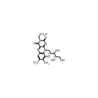 Cc1cc2nc3c(=O)n(CC(=O)O)c(=O)nc-3n(C[C@@H](O)[C@@H](O)[C@@H](O)CO)c2cc1C